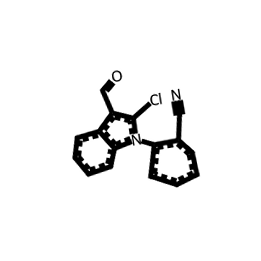 N#Cc1ccccc1-n1c(Cl)c(C=O)c2ccccc21